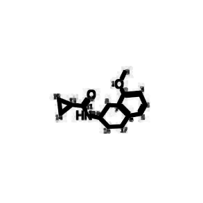 COc1cccc2c1CC(NC(=O)C1CC1)CC2